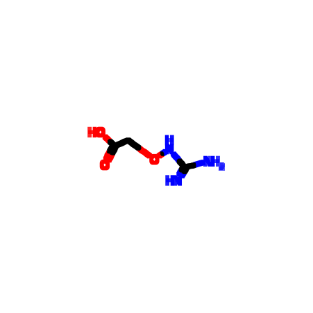 N=C(N)NOCC(=O)O